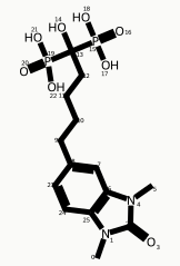 Cn1c(=O)n(C)c2cc(CCCCC(O)(P(=O)(O)O)P(=O)(O)O)ccc21